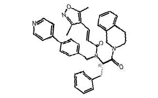 Cc1noc(C)c1C=CC(=O)N(Cc1ccc(-c2ccncc2)cc1)[C@@H](Cc1ccccc1)C(=O)N1CCc2ccccc2C1